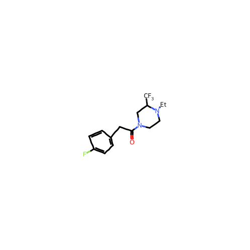 CCN1CCN(C(=O)Cc2ccc(F)cc2)CC1C(F)(F)F